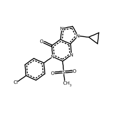 CS(=O)(=O)c1nc2c(ncn2C2CC2)c(=O)n1-c1ccc(Cl)cc1